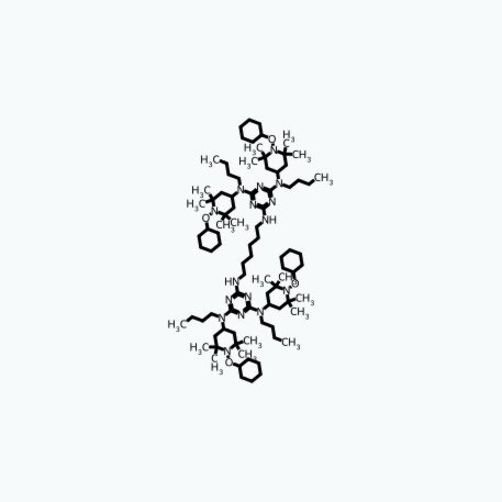 CCCCN(c1nc(NCCCCCCNc2nc(N(CCCC)C3CC(C)(C)N(OC4CCCCC4)C(C)(C)C3)nc(N(CCCC)C3CC(C)(C)N(OC4CCCCC4)C(C)(C)C3)n2)nc(N(CCCC)C2CC(C)(C)N(OC3CCCCC3)C(C)(C)C2)n1)C1CC(C)(C)N(OC2CCCCC2)C(C)(C)C1